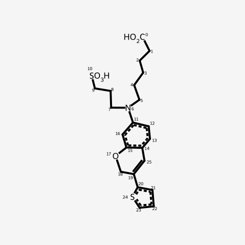 O=C(O)CCCCCN(CCCS(=O)(=O)O)c1ccc2c(c1)OCC(c1cccs1)=C2